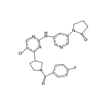 O=C(c1ccc(F)cc1)N1CCC(c2nc(Nc3cncc(N4CCCC4=O)c3)ncc2Cl)C1